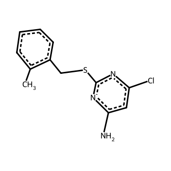 Cc1ccccc1CSc1nc(N)cc(Cl)n1